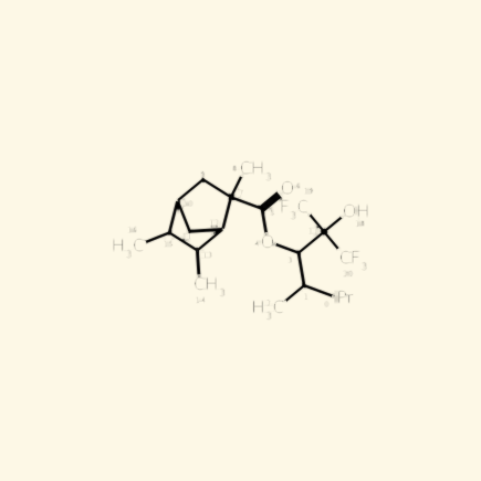 CC(C)C(C)C(OC(=O)C1(C)CC2CC1C(C)C2C)C(O)(C(F)(F)F)C(F)(F)F